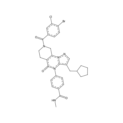 CNC(=O)c1ccc(-n2c(=O)c3c(n4ncc(CC5CCCC5)c24)CN(C(=O)c2ccc(Br)c(Cl)c2)CC3)cc1